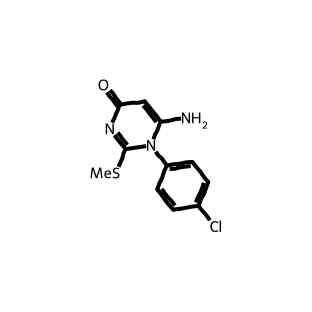 CSc1nc(=O)cc(N)n1-c1ccc(Cl)cc1